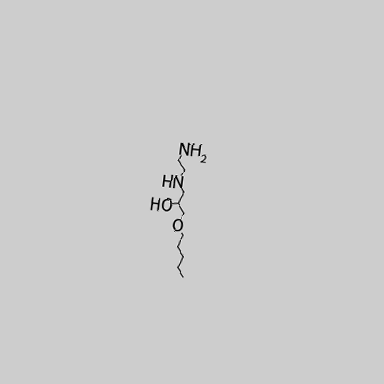 CCCCCOCC(O)CNCCN